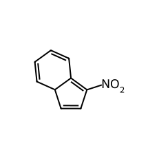 O=[N+]([O-])C1=C2C=CC=CC2C=C1